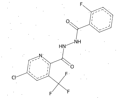 O=C(NNC(=O)c1ncc(Cl)cc1C(F)(F)F)c1ccccc1F